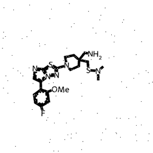 COc1cc(F)ccc1-c1cnc2sc(N3CCC(CN)(CSN(C)C)CC3)nn12